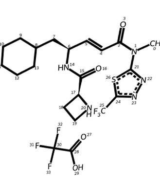 CN(C(=O)C=C[C@H](CC1CCCCC1)NC(=O)[C@@H]1CCN1)c1nnc(C(F)(F)F)s1.O=C(O)C(F)(F)F